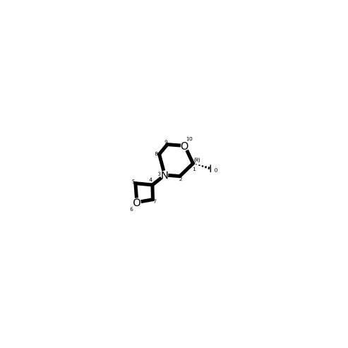 I[C@@H]1CN(C2COC2)CCO1